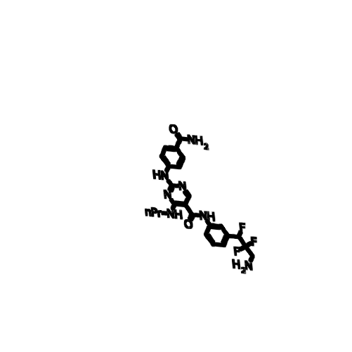 CCCNc1nc(Nc2ccc(C(N)=O)cc2)ncc1C(=O)Nc1cccc(C(F)C(F)(F)CN)c1